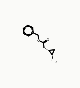 O=C(C[C@@H]1C[C@H]1C(F)(F)F)OCc1ccccc1